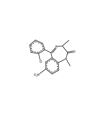 CC1N=C(c2ccccc2Cl)c2cc([N+](=O)[O-])ccc2N(C)C1=O